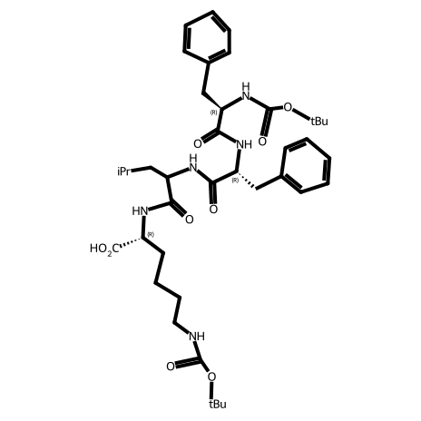 CC(C)CC(NC(=O)[C@@H](Cc1ccccc1)NC(=O)[C@@H](Cc1ccccc1)NC(=O)OC(C)(C)C)C(=O)N[C@H](CCCCNC(=O)OC(C)(C)C)C(=O)O